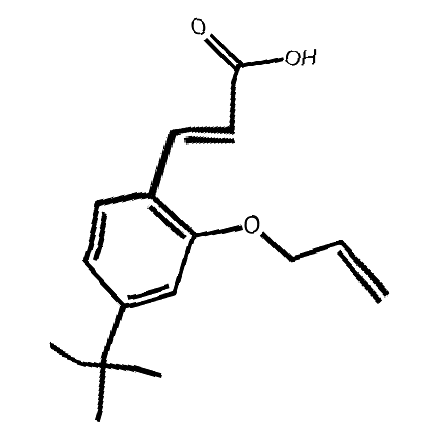 C=CCOc1cc(C(C)(C)C)ccc1C=CC(=O)O